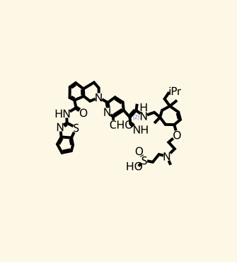 C/C(NCC1(C)CC(OCCN(C)CCS(=O)O)C=CC(C)(CC(C)C)C1)=C(/C=N)c1ccc(N2CCc3cccc(C(=O)Nc4nc5ccccc5s4)c3C2)nc1C=O